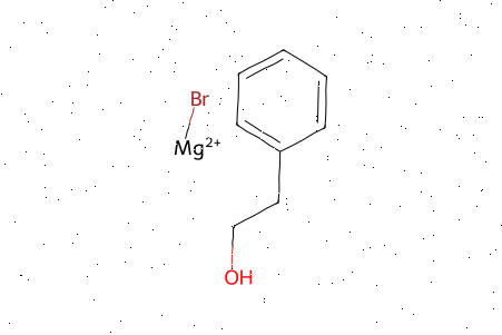 OCCc1ccccc1.[Mg+2][Br]